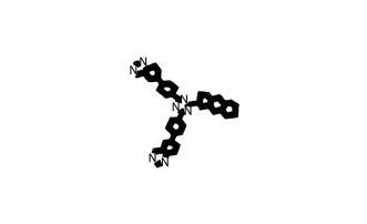 c1ccc2cc3cc(-c4nc(-c5ccc(-c6ccc7ncncc7c6)cc5)nc(-c5ccc(-c6ccc7ncncc7c6)cc5)n4)ccc3cc2c1